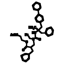 CC(=O)NCCOC(=O)C(Cc1ccccc1)CN(CC(C)C)C(=O)N[C@@](Cc1ccccc1)(Cc1ccc(-c2ccccc2)cc1)C(=O)O